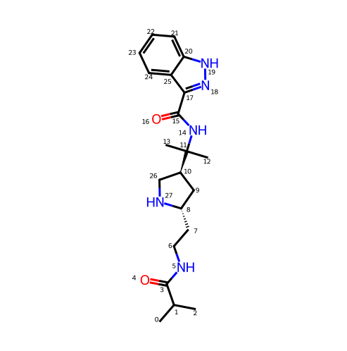 CC(C)C(=O)NCC[C@H]1C[C@H](C(C)(C)NC(=O)c2n[nH]c3ccccc23)CN1